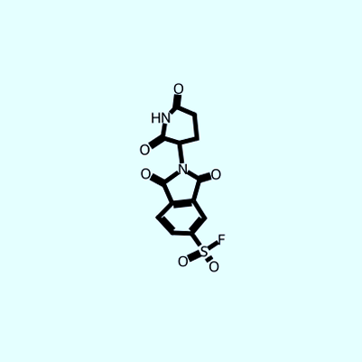 O=C1CCC(N2C(=O)c3ccc(S(=O)(=O)F)cc3C2=O)C(=O)N1